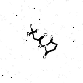 O=C(CC(F)(F)F)ON1C(=O)CCC1=O